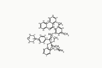 CCC(Cc1ccccc1)(C(=O)c1ccc(N2CCOCC2)cc1)N(C)C.Cc1cc(C)c(C(=O)c2ccccc2-c2ccccc2)c(C)c1.O=[PH3]